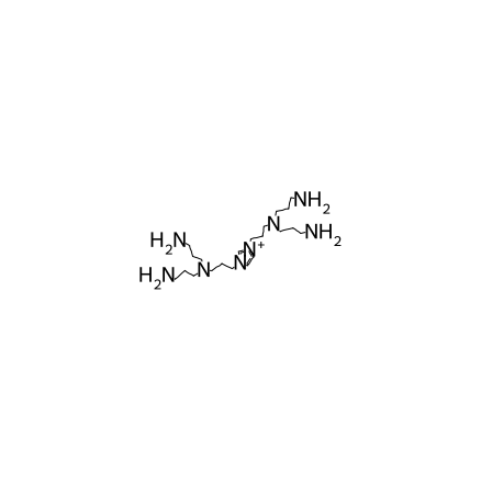 NCCCN(CCCN)CCCn1cc[n+](CCCN(CCCN)CCCN)c1